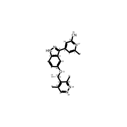 Cc1cc(-c2n[nH]c3ccc(O[C@@H](C)c4c(C)cnnc4C)cc23)cc(C#N)n1